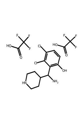 NC(c1c(O)ccc(Cl)c1Cl)C1CCNCC1.O=C(O)C(F)(F)F.O=C(O)C(F)(F)F